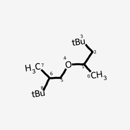 CC(CC(C)(C)C)OCC(C)C(C)(C)C